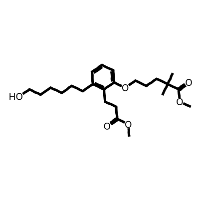 COC(=O)CCc1c(CCCCCCO)cccc1OCCCC(C)(C)C(=O)OC